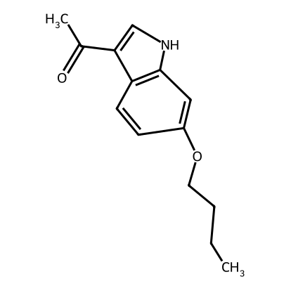 CCCCOc1ccc2c(C(C)=O)c[nH]c2c1